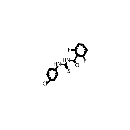 O=C(NC(=S)Nc1ccc(Cl)cc1)c1c(F)cccc1F